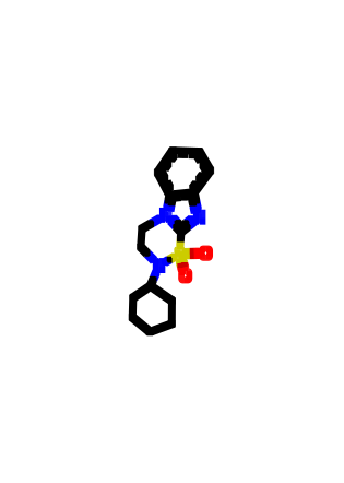 O=S1(=O)c2nc3ccccc3n2CCN1C1CCCCC1